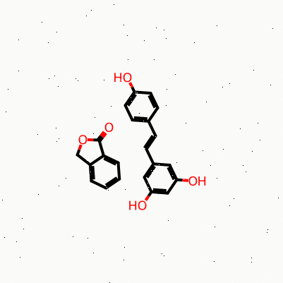 O=C1OCc2ccccc21.Oc1ccc(C=Cc2cc(O)cc(O)c2)cc1